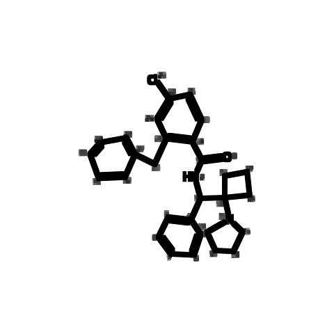 O=C(NC(c1ccccc1)C1(N2CCCC2)CCC1)c1ccc(Cl)cc1Cc1ccccc1